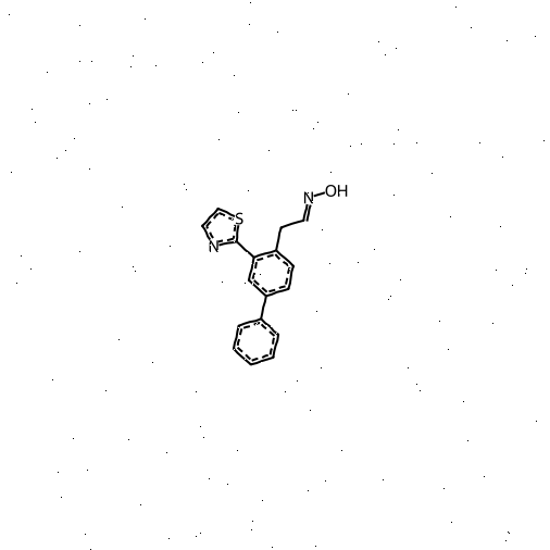 ON=CCc1ccc(-c2ccccc2)cc1-c1nccs1